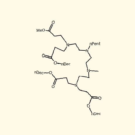 CCCCCCCCCCOC(=O)CCN(CCC(=O)OCCCCCCCCCC)CCN(C)CCN(CCCCC)CCN(CCC(=O)OC)CCC(=O)OCCCCCCCCCC